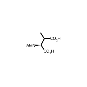 CN[C@H](C(=O)O)C(C)C(=O)O